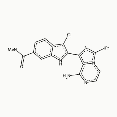 CNC(=O)c1ccc2c(Cl)c(-c3nc(C(C)C)n4ccnc(N)c34)[nH]c2c1